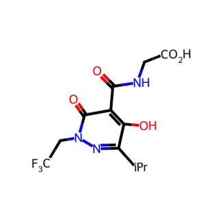 CC(C)c1nn(CC(F)(F)F)c(=O)c(C(=O)NCC(=O)O)c1O